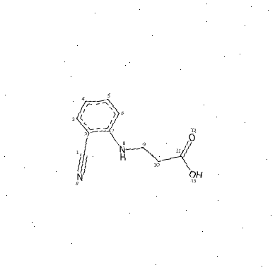 N#Cc1ccccc1NCCC(=O)O